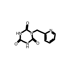 O=c1[nH]c(=O)n(Cc2ccccn2)c(=O)[nH]1